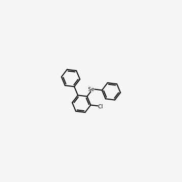 Clc1cccc(-c2ccccc2)c1[Se]c1ccccc1